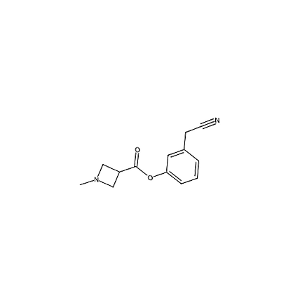 CN1CC(C(=O)Oc2cccc(CC#N)c2)C1